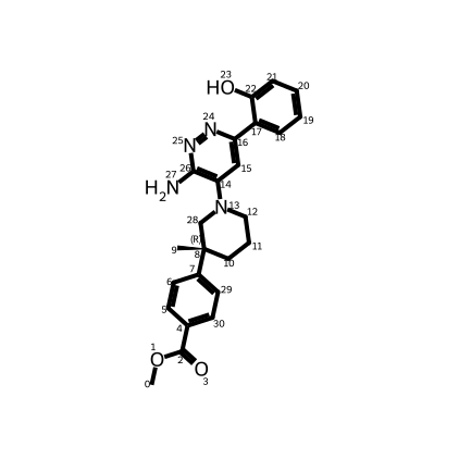 COC(=O)c1ccc([C@@]2(C)CCCN(c3cc(-c4ccccc4O)nnc3N)C2)cc1